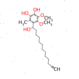 C#CCCCCCCCCCCC(O)c1c(C)c(O)c(O)c(OC)c1OC